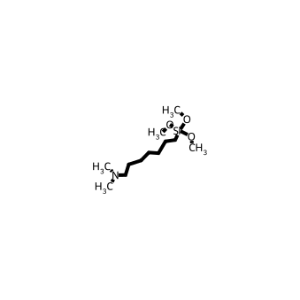 CO[Si](CCCCCCCN(C)C)(OC)OC